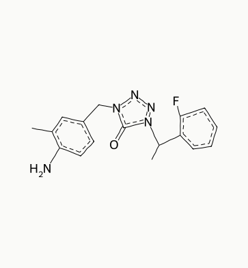 Cc1cc(Cn2nnn(C(C)c3ccccc3F)c2=O)ccc1N